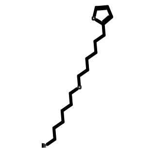 BrCCCCCCOCCCCCCc1ccco1